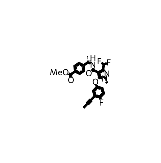 CC#Cc1cc(Oc2c(C(=O)N[C@@H](C)c3ccc(C(=O)OC)cc3)c(C(F)F)nn2C)ccc1F